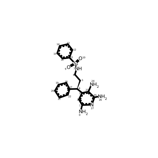 Nc1cc([C@H](CCNS(=O)(=O)c2ccccc2)c2ccccc2)c(N)c(N)n1